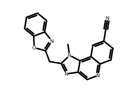 Cn1c(Cc2nc3ccccc3o2)nc2cnc3ccc(C#N)cc3c21